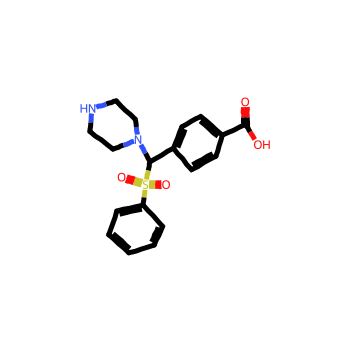 O=C(O)c1ccc(C(N2CCNCC2)S(=O)(=O)c2ccccc2)cc1